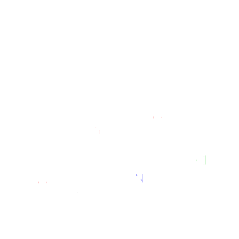 CC=CC(=O)OC(C(C)O)[N+](C)(C)C.[Cl-]